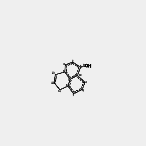 Oc1ccc2c3c(cccc13)CC=C2